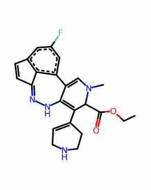 CCOC(=O)C1C(C2=CCNCC2)=C2NN=C3C=Cc4cc(F)cc(c43)C2=CN1C